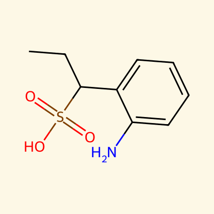 CCC(c1ccccc1N)S(=O)(=O)O